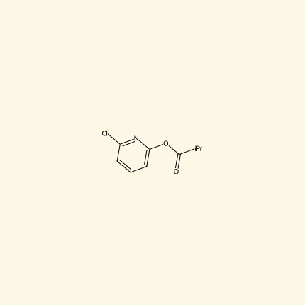 CC(C)C(=O)Oc1cccc(Cl)n1